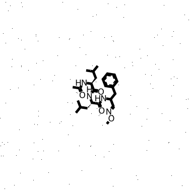 CO/N=C/C(Cc1ccccc1)NC(=O)[C@H](CC(C)C)NC(=O)[C@H](CC(C)C)NC(C)=O